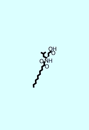 CCCCCCCCCCC(=O)C(=O)N[C@H](CCC(=O)O)CC(C)C